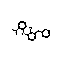 CN(C)c1ccccc1Pc1cccc(CC2C=CC=CC2)c1O